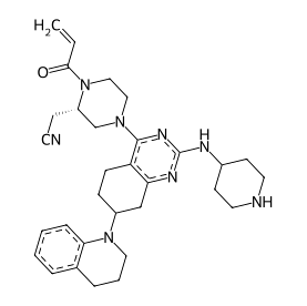 C=CC(=O)N1CCN(c2nc(NC3CCNCC3)nc3c2CCC(N2CCCc4ccccc42)C3)C[C@@H]1CC#N